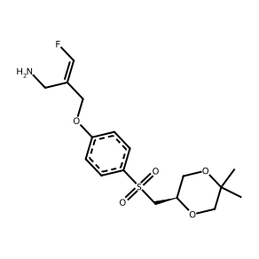 CC1(C)CO[C@@H](CS(=O)(=O)c2ccc(OC/C(=C/F)CN)cc2)CO1